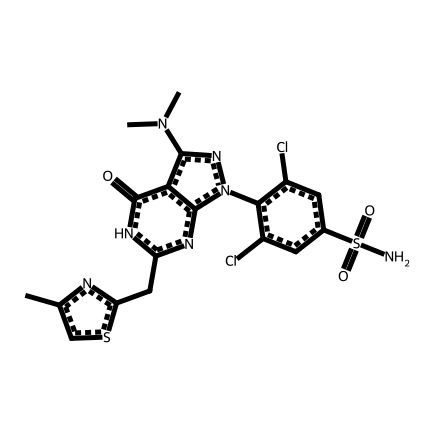 Cc1csc(Cc2nc3c(c(N(C)C)nn3-c3c(Cl)cc(S(N)(=O)=O)cc3Cl)c(=O)[nH]2)n1